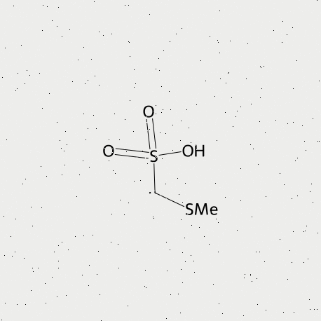 CS[CH]S(=O)(=O)O